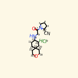 Cl.N#C[C@@H]1CCCN1C(=O)CNC1CCC2(CCOCC2)CC1